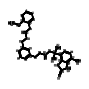 COc1ccccc1CNCCc1cccc(CCNCC(O)(O)c2ccc(O)c3[nH]c(=O)sc23)c1